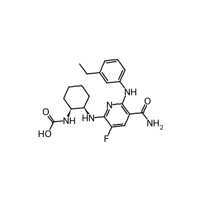 CCc1cccc(Nc2nc(N[C@@H]3CCCC[C@@H]3NC(=O)O)c(F)cc2C(N)=O)c1